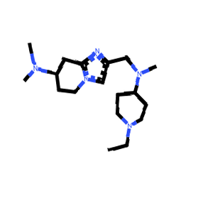 CCN1CCC(N(C)Cc2cn3c(n2)CC(N(C)C)CC3)CC1